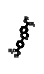 C=C(OCC)c1ccc(-c2ncc3cc(C(=C)OCC)ccc3n2)cc1